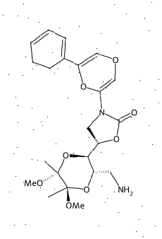 CO[C@]1(C)O[C@@H]([C@H]2CN(C3=COC=C(C4=CC=CCC4)O3)C(=O)O2)[C@H](CN)O[C@@]1(C)OC